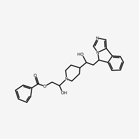 O=C(OCC(O)N1CCC(C(O)CC2c3ccccc3-c3cncn32)CC1)c1ccccc1